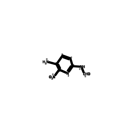 Nc1ccc(NC=O)nc1[N+](=O)[O-]